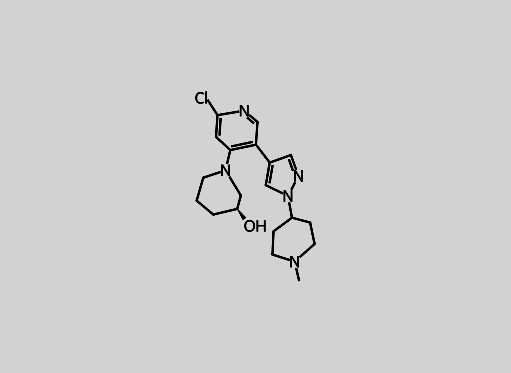 CN1CCC(n2cc(-c3cnc(Cl)cc3N3CCC[C@H](O)C3)cn2)CC1